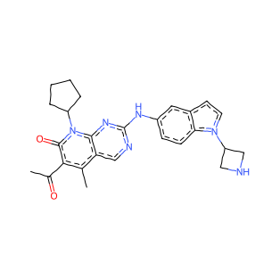 CC(=O)c1c(C)c2cnc(Nc3ccc4c(ccn4C4CNC4)c3)nc2n(C2CCCC2)c1=O